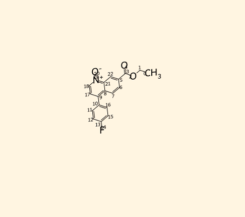 CCOC(=O)c1ccc2c(-c3ccc(F)cc3)cc[n+]([O-])c2c1